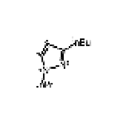 [CH2]CCCc1ccn(CCC)n1